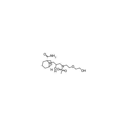 CS(=O)(=O)N(CCOCCO)CC(O)CN1[C@@H]2C[CH]C[C@@]1(C(N)=O)CC2